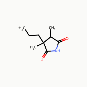 [CH2]CCC1(C)C(=O)NC(=O)C1C